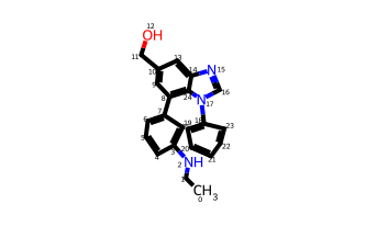 CCNc1cccc(-c2cc(CO)cc3ncn(-c4ccccc4)c23)c1